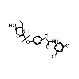 CCC(NC(=O)C(C)(C)Oc1ccc(NC(=O)Nc2cc(Cl)cc(Cl)c2)cc1)C(=O)O